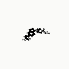 CC(C)(C)OC(=O)N1CCC2(CC1)CN([C@@H]1CCc3cc(-c4ccc(C#N)cn4)ccc31)C2